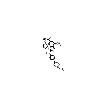 C=C1CC2C(=O)NCC3(CCCC3)N2c2nc(Nc3ccc(N4CCN(C)CC4)cn3)ncc21